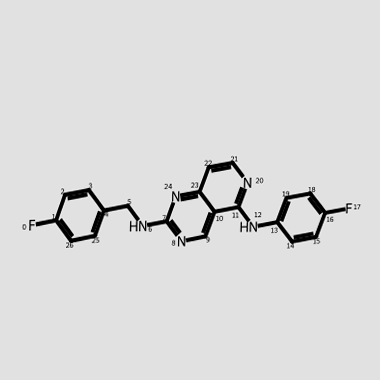 Fc1ccc(CNc2ncc3c(Nc4ccc(F)cc4)nccc3n2)cc1